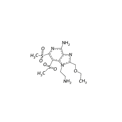 CCOCc1nc2c(N)nc(S(C)(=O)=O)c(S(C)(=O)=O)c2n1CCN